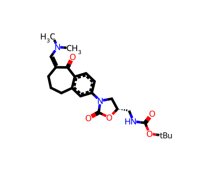 CN(C)/C=C1/CCCc2cc(N3C[C@H](CNC(=O)OC(C)(C)C)OC3=O)ccc2C1=O